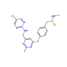 CN[S+]([O-])Cc1ccc(Oc2cc(CNc3ncc(Cl)cn3)nc(C)n2)cc1